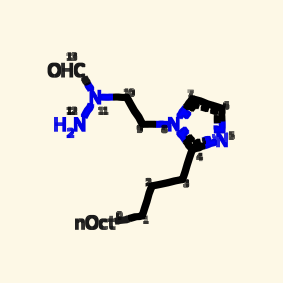 CCCCCCCCCCCc1nccn1CCN(N)C=O